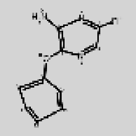 Nc1nc(Cl)cnc1Oc1ccccc1